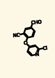 N#Cc1cc(C=O)ccc1Oc1ccnc(Cl)c1